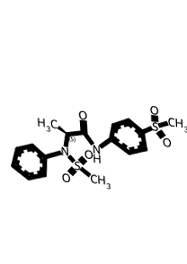 C[C@@H](C(=O)Nc1ccc(S(C)(=O)=O)cc1)N(c1ccccc1)S(C)(=O)=O